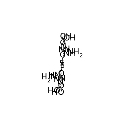 NC1=Nc2c(ncn2COC(CO)CO)C(OCCCSSCCCOC2NC(N)=Nc3c2ncn3COC(CO)CO)N1